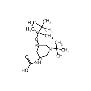 CC(C)(C)N1C[C@@H](NC(=O)O)C[C@@H](O[Si](C)(C)C(C)(C)C)C1